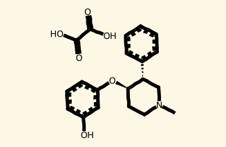 CN1CC[C@@H](Oc2cccc(O)c2)[C@H](c2ccccc2)C1.O=C(O)C(=O)O